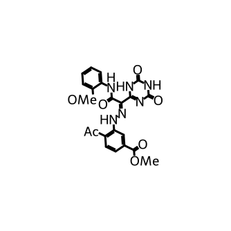 COC(=O)c1ccc(C(C)=O)c(N/N=C(\C(=O)Nc2ccccc2OC)c2nc(=O)[nH]c(=O)[nH]2)c1